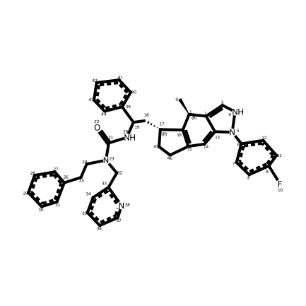 C[C@H]1C2=CNN(c3ccc(F)cc3)C2=CC2=C1[C@@H](CC(NC(=O)N(CCc1ccccc1)Cc1ccccn1)c1ccccc1)CC2